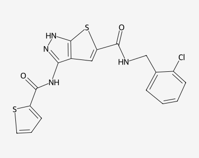 O=C(Nc1n[nH]c2sc(C(=O)NCc3ccccc3Cl)cc12)c1cccs1